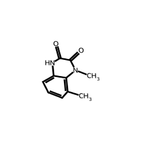 Cc1cccc2[nH]c(=O)c(=O)n(C)c12